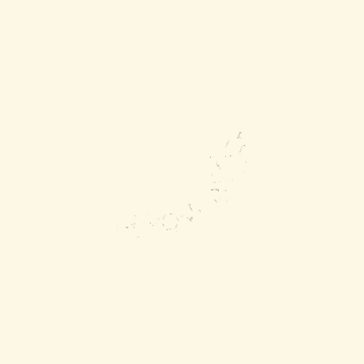 C[C@@H]1CC2C3CCC4=CC(=O)C=CC4(C)C3[C@@H](O)CC2(C)[C@@]1(O)C(=O)COC(=O)Nc1ccc(N2CCN(C)CC2)cc1